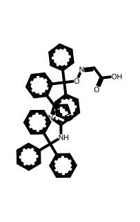 O=C(O)/C=N\OC(c1ccccc1)(c1ccccc1)c1ccccc1-c1csc(NC(c2ccccc2)(c2ccccc2)c2ccccc2)n1